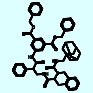 O=C(OCc1ccccc1)c1cc(NC(=O)C(CNC(=O)C2Cc3ccccc3CN2C(=O)NCC23CC4CC(CC(C4)C2)C3)c2ccccc2)cc(C(=O)OCc2ccccc2)c1